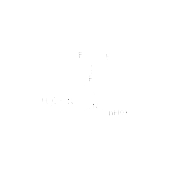 CCCCCCN1C=CN(C)C1.FC(F)F